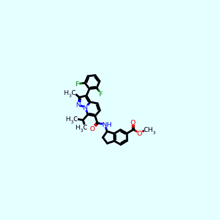 COC(=O)c1ccc2c(c1)C(NC(=O)c1ccc3c(-c4c(F)cccc4F)c(C)nn3c1C(C)C)CC2